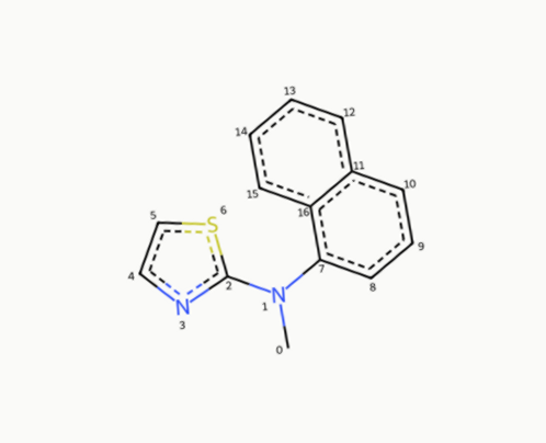 CN(c1nccs1)c1cccc2ccccc12